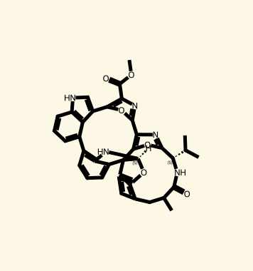 COC(=O)c1nc2oc1-c1c[nH]c3cccc(c13)-c1cccc3c1N[C@H]1Oc4ccc5cc4C31c1oc(nc1-2)[C@H](C(C)C)NC(=O)C(C)C5